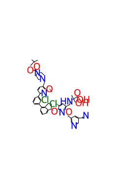 COc1nc(-c2cccc(-c3cccc4c3CC[C@@H]4Oc3nc(OCc4cncc(C#N)c4)c(CN[C@@](C)(CO)C(=O)O)cc3Cl)c2Cl)ccc1CN1CCN(C(=O)OC(C)(C)C)CC1